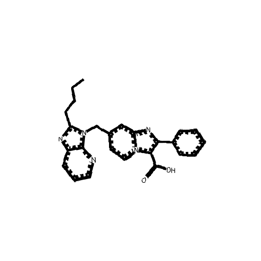 CCCCc1nc2cccnc2n1Cc1ccn2c(C(=O)O)c(-c3ccccc3)nc2c1